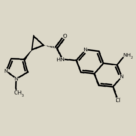 Cn1cc([C@H]2C[C@@H]2C(=O)Nc2cc3cc(Cl)nc(N)c3cn2)cn1